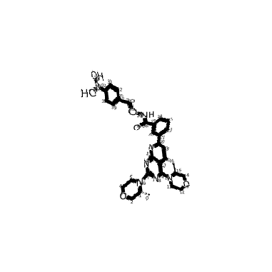 C[C@@H]1COCCN1c1nc(N2CCOC[C@@H]2C)c2ccc(-c3cccc(C(=O)NOCc4ccc(B(O)O)cc4)c3)nc2n1